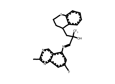 Cc1ncc2c(N=CC(O)(CC3CCSc4ccccc43)C(F)(F)F)cc(F)cc2n1